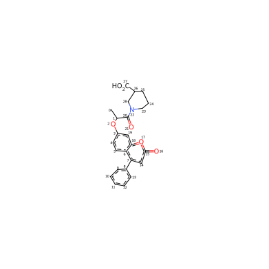 CC(Oc1ccc2c(-c3ccccc3)cc(=O)oc2c1)C(=O)N1CCCC(C(=O)O)C1